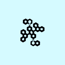 c1ccc2c(c1)CCCN2c1ccc2c(-c3cc4ccccc4c4ccccc34)c3cc(N4CCCc5ccccc54)ccc3c(-c3cc4ccccc4c4ccccc34)c2c1